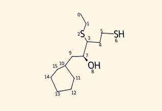 CCSC(CCS)[C@@H](O)CC1CCCCC1